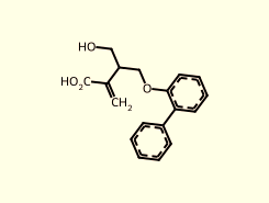 C=C(C(=O)O)C(CO)COc1ccccc1-c1ccccc1